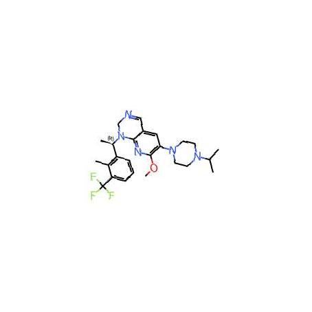 COc1nc2c(cc1N1CCN(C(C)C)CC1)C=NCN2[C@H](C)c1cccc(C(F)(F)F)c1C